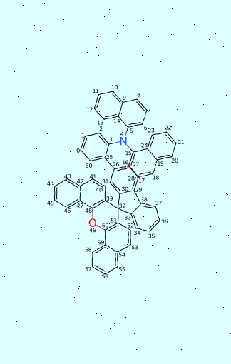 c1ccc(N(c2cccc3ccccc23)c2cccc3ccccc23)c(-c2ccc3c(c2)C2(c4ccccc4-3)c3ccc4ccccc4c3Oc3c2ccc2ccccc32)c1